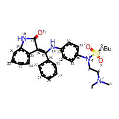 CCCCS(=O)(=O)N(CCN(C)C)c1ccc(N/C(=C2\C(=O)Nc3ccccc32)c2ccccc2)cc1